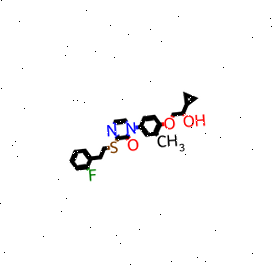 Cc1cc(-n2ccnc(SCCc3ccccc3F)c2=O)ccc1OCC(O)C1CC1